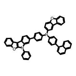 c1ccc(-n2c3cc(-c4ccc(N(c5ccc(-c6cccc7ccccc67)cc5)c5ccc6oc7ccccc7c6c5)cc4)ccc3c3c4ccccc4oc32)cc1